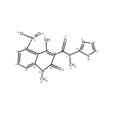 CN(C(=O)c1c(O)c2c([N+](=O)[O-])cccc2n(C)c1=O)c1nccs1